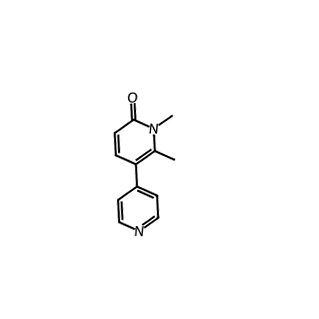 Cc1c(-c2ccncc2)ccc(=O)n1C